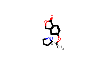 CC(Oc1ccc2c(c1)COC2=O)[C@@H]1CCCN1